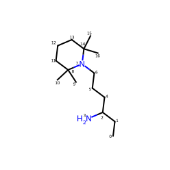 CCC(N)CCCN1C(C)(C)CCCC1(C)C